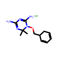 CC1(C)N=C(N)N=C(N)N1OCC1C=CC=CC1.Cl